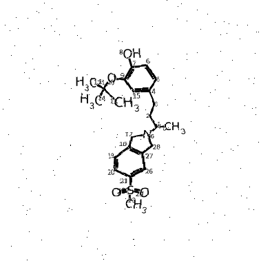 C[C@H](CCc1ccc(O)c(OC(C)(C)C)c1)N1Cc2ccc(S(C)(=O)=O)cc2C1